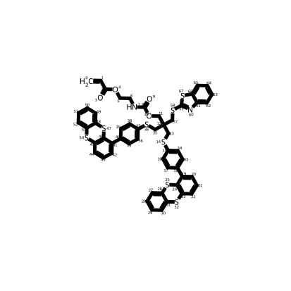 C=CC(=O)OCCNC(=O)OCC(CSc1ccc(-c2cccc3c2Sc2ccccc2S3)cc1)(CSc1ccc(-c2cccc3c2Sc2ccccc2S3)cc1)CSc1nc2ccccc2s1